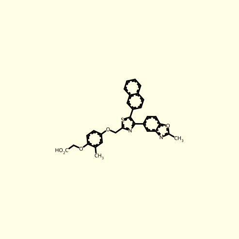 Cc1nc2cc(-c3nc(COc4ccc(OCC(=O)O)c(C)c4)sc3-c3ccc4ccccc4c3)ccc2o1